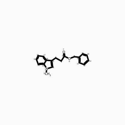 Cn1cc(CCC(=O)OCc2ccccc2)c2ccccc21